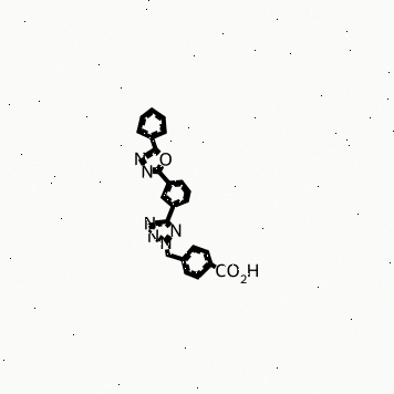 O=C(O)c1ccc(Cn2nnc(-c3cccc(-c4nnc(-c5ccccc5)o4)c3)n2)cc1